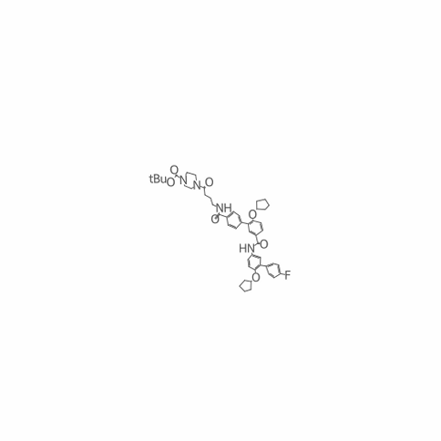 CC(C)(C)OC(=O)N1CCN(C(=O)CCCNC(=O)c2ccc(-c3cc(C(=O)Nc4ccc(OC5CCCC5)c(-c5ccc(F)cc5)c4)ccc3OC3CCCC3)cc2)CC1